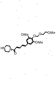 COCCOCOc1c(OC)cc(C=CC=CC(=O)N2CCNCC2)cc1OC